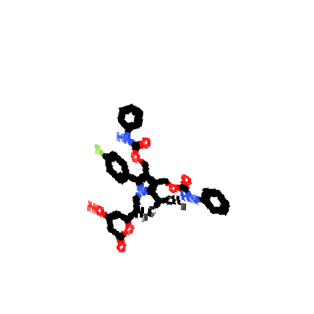 CC(C)c1c(COC(=O)Nc2ccccc2)c(COC(=O)Nc2ccccc2)c(-c2ccc(F)cc2)n1CCC1CC(O)CC(=O)O1